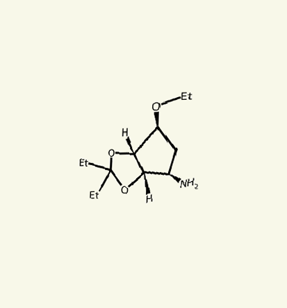 CCO[C@H]1C[C@@H](N)[C@@H]2OC(CC)(CC)O[C@@H]21